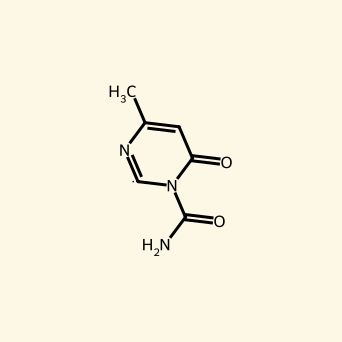 Cc1cc(=O)n(C(N)=O)[c]n1